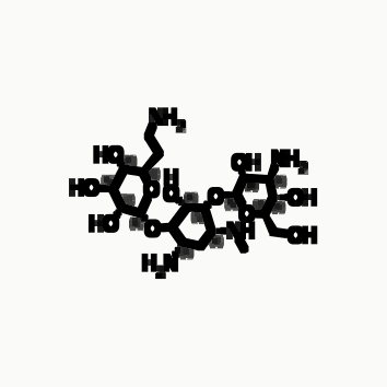 CN[C@@H]1C[C@H](N)C(O[C@H]2O[C@H](CCN)[C@@H](O)[C@H](O)[C@H]2O)[C@H](O)[C@H]1O[C@H]1O[C@H](CO)[C@@H](O)[C@H](N)[C@H]1O